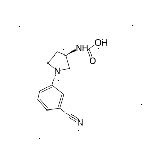 N#Cc1cccc(N2CC[C@@H](NC(=O)O)C2)c1